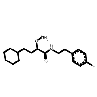 NOC(CCC1CCCCC1)C(=O)NCCc1ccc(F)cc1